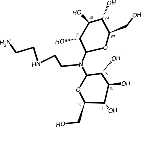 NCCNCCN(C1O[C@H](CO)[C@@H](O)[C@H](O)[C@H]1O)C1O[C@H](CO)[C@@H](O)[C@H](O)[C@H]1O